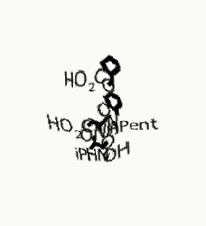 CCCCCN(Cc1ccc(OCc2ccccc2C(=O)O)cc1)C(=O)C(CC(=O)O)NC(=O)C(CC(C)C)C(=O)NO